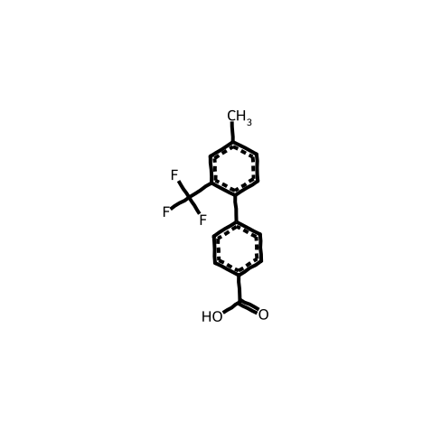 Cc1ccc(-c2ccc(C(=O)O)cc2)c(C(F)(F)F)c1